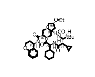 CCO[C@@H]1C[C@@H]2CN(C(=O)[C@@H](NC(=O)[C@@H](C3CC3)C(NC(=O)O)C(C)(C)C)C3CCCCC3)[C@H](C(=O)N[C@@H]3CCOc4ccccc43)CN2C1